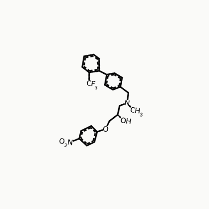 CN(Cc1ccc(-c2ccccc2C(F)(F)F)cc1)C[C@@H](O)COc1ccc([N+](=O)[O-])cc1